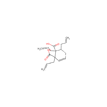 C=CCC1CC=CC(CC=C)(C(=O)O)C1(CC=C)C(=O)O